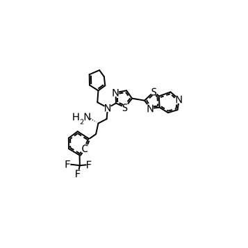 N[C@@H](Cc1cccc(C(F)(F)F)c1)CN(CC1=CCCC=C1)c1ncc(-c2nc3ccncc3s2)s1